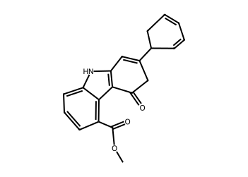 COC(=O)c1cccc2[nH]c3c(c12)C(=O)CC(C1C=CC=CC1)=C3